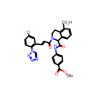 CC(C)(C)OC(=O)c1ccc(NC(=O)C2c3cccc(C(=O)O)c3CCN2C(=O)C=Cc2cc(Cl)ccc2-n2cnnn2)cc1